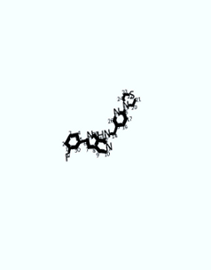 Fc1cccc(-c2cc3ccnc(NCc4ccc(N5CCSCC5)nc4)c3cn2)c1